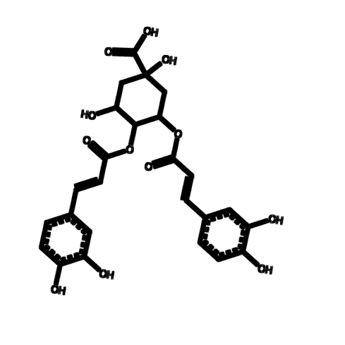 O=C(/C=C/c1ccc(O)c(O)c1)OC1CC(O)(C(=O)O)CC(O)C1OC(=O)/C=C/c1ccc(O)c(O)c1